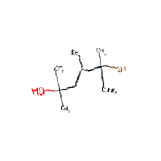 CCC(CC(C)(O)C(F)(F)F)C(C)(C)S